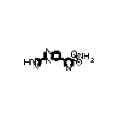 NS(=O)(=O)c1cncc(-c2ccc3ncc(-c4cn[nH]c4)nc3c2)c1